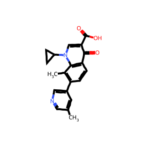 Cc1cncc(-c2ccc3c(=O)c(C(=O)O)cn(C4CC4)c3c2C)c1